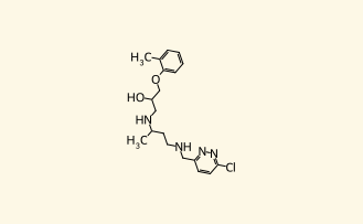 Cc1ccccc1OCC(O)CNC(C)CCNCc1ccc(Cl)nn1